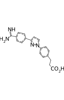 N=C(N)c1ccc(-c2ccn(-c3ccc(CCC(=O)O)cc3)n2)cc1